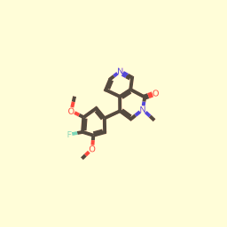 COc1cc(-c2cn(C)c(=O)c3cnccc23)cc(OC)c1F